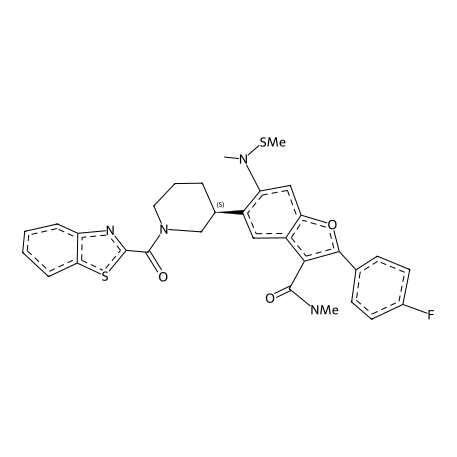 CNC(=O)c1c(-c2ccc(F)cc2)oc2cc(N(C)SC)c([C@@H]3CCCN(C(=O)c4nc5ccccc5s4)C3)cc12